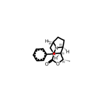 C[C@@H]1OC(=O)N2C[C@H]3CC[C@@H]([C@@H]12)N3Cc1ccccc1